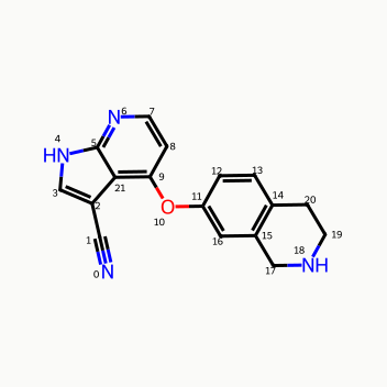 N#Cc1c[nH]c2nccc(Oc3ccc4c(c3)CNCC4)c12